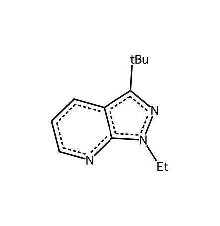 CCn1nc(C(C)(C)C)c2cccnc21